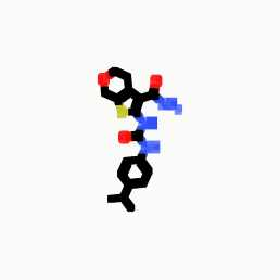 CC(C)c1ccc(NC(=O)Nc2sc3c(c2C(N)=O)CCOC3)cc1